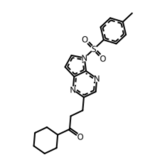 Cc1ccc(S(=O)(=O)n2ccc3nc(CCC(=O)C4CCCCC4)cnc32)cc1